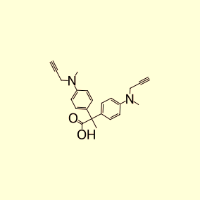 C#CCN(C)c1ccc(C(C)(C(=O)O)c2ccc(N(C)CC#C)cc2)cc1